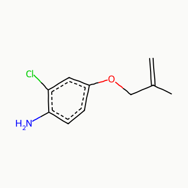 C=C(C)COc1ccc(N)c(Cl)c1